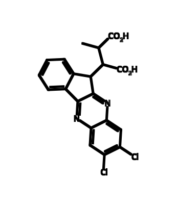 CC(C(=O)O)C(C(=O)O)C1c2ccccc2-c2nc3cc(Cl)c(Cl)cc3nc21